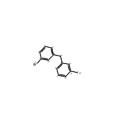 Brc1cccc(Cc2cccc(I)c2)c1